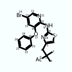 CC(=O)C(C)(C)Cc1csc(Nc2ncc(Br)cc2Oc2ccccc2)n1